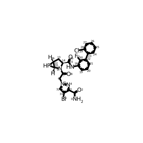 NC(=O)c1nn(CC(=O)N2[C@@H]3P[C@@H]3C[C@H]2C(=O)Nc2cccc(-c3ccccc3Cl)c2F)cc1Br